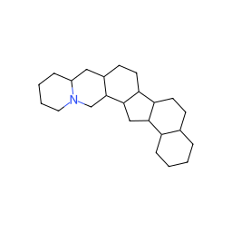 C1CCC2C(C1)CCC1C2CC2C3CN4CCCCC4CC3CCC21